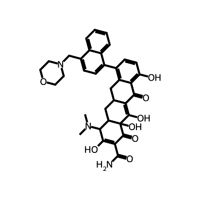 CN(C)C1C(O)=C(C(N)=O)C(=O)C2(O)C(O)=C3C(=O)c4c(O)ccc(-c5ccc(CN6CCOCC6)c6ccccc56)c4CC3CC12